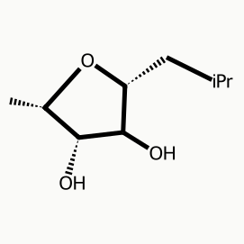 CC(C)C[C@H]1O[C@@H](C)[C@@H](O)C1O